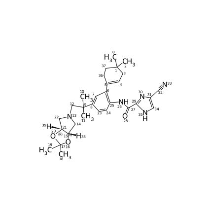 CC1(C)CC=C(c2cc(C(C)(C)CN3C[C@@H]4OC(C)(C)O[C@@H]4C3)ccc2NC(=O)c2nc(C#N)c[nH]2)CC1